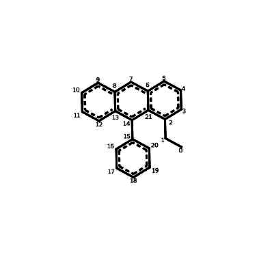 CCc1cccc2cc3ccccc3c(-c3ccccc3)c12